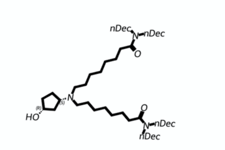 CCCCCCCCCCN(CCCCCCCCCC)C(=O)CCCCCCCN(CCCCCCCC(=O)N(CCCCCCCCCC)CCCCCCCCCC)[C@H]1CC[C@@H](O)C1